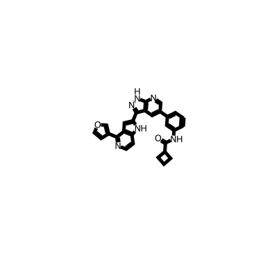 O=C(Nc1c#ccc(-c2cnc3[nH]nc(-c4cc5c(-c6ccoc6)nccc5[nH]4)c3c2)c1)C1CCC1